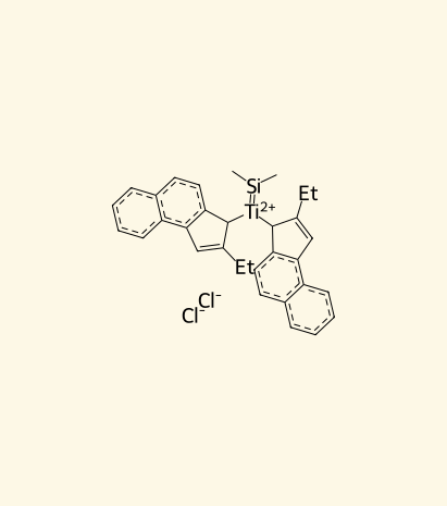 CCC1=Cc2c(ccc3ccccc23)[CH]1[Ti+2]([CH]1C(CC)=Cc2c1ccc1ccccc21)=[Si](C)C.[Cl-].[Cl-]